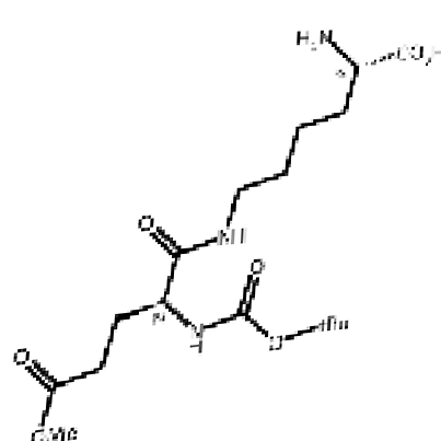 COC(=O)CC[C@H](NC(=O)OC(C)(C)C)C(=O)NCCCC[C@H](N)C(=O)O